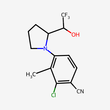 Cc1c(N2CCCC2C(O)C(F)(F)F)ccc(C#N)c1Cl